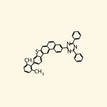 Cc1cccc(C)c1-c1ccc2c(c1)sc1cc3ccc4cc(-c5nc(-c6ccccc6)nc(-c6ccccc6)n5)ccc4c3cc12